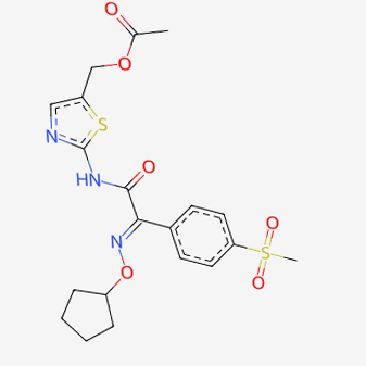 CC(=O)OCc1cnc(NC(=O)/C(=N/OC2CCCC2)c2ccc(S(C)(=O)=O)cc2)s1